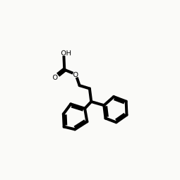 O=C(O)OCCC(c1ccccc1)c1ccccc1